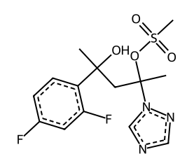 CC(O)(CC(C)(OS(C)(=O)=O)n1cncn1)c1ccc(F)cc1F